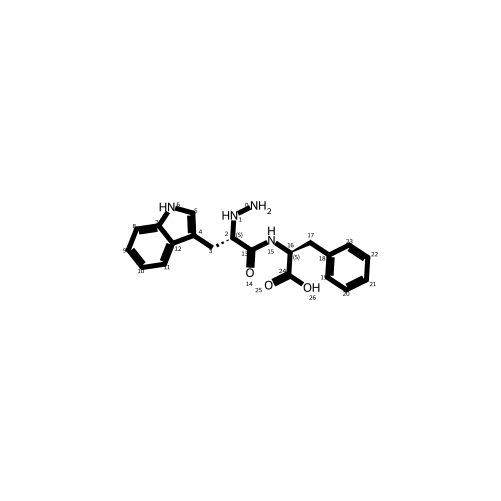 NN[C@@H](Cc1c[nH]c2ccccc12)C(=O)N[C@@H](Cc1ccccc1)C(=O)O